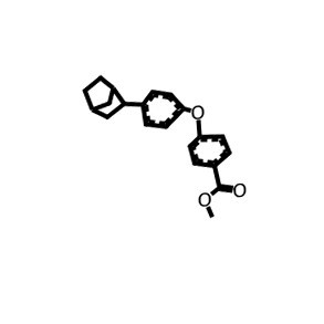 COC(=O)c1ccc(Oc2ccc(C3CC4CCC3C4)cc2)cc1